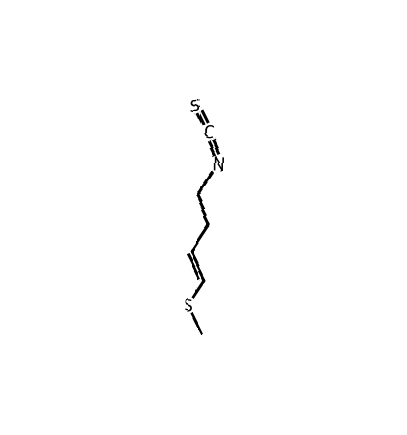 CSC=CCCN=C=S